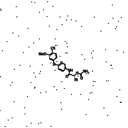 CC[C@@H](OC(N)=O)C(=O)Nc1ccc(Oc2ccc(C#N)c(OC)c2)nc1